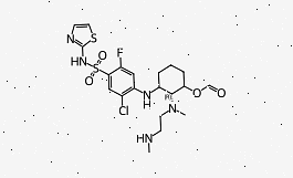 CNCCN(C)[C@@H]1C(Nc2cc(F)c(S(=O)(=O)Nc3nccs3)cc2Cl)CCCC1OC=O